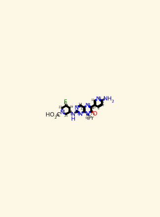 CC(C)n1c(=O)c(-c2ccc(N)nc2)nc2cnc(N[C@H]3C[C@H](F)CN(C(=O)O)C3)nc21